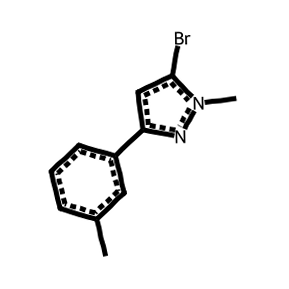 Cc1cccc(-c2cc(Br)n(C)n2)c1